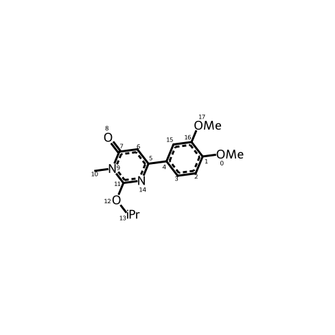 COc1ccc(-c2cc(=O)n(C)c(OC(C)C)n2)cc1OC